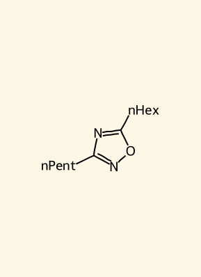 [CH2]CCCCc1noc(CCCCCC)n1